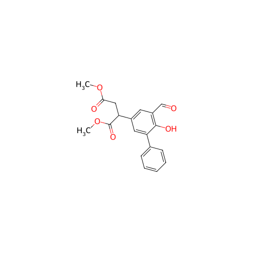 COC(=O)CC(C(=O)OC)c1cc(C=O)c(O)c(-c2ccccc2)c1